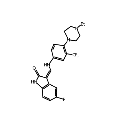 CCN1CCN(c2ccc(NC=C3C(=O)Nc4ccc(F)cc43)cc2C(F)(F)F)CC1